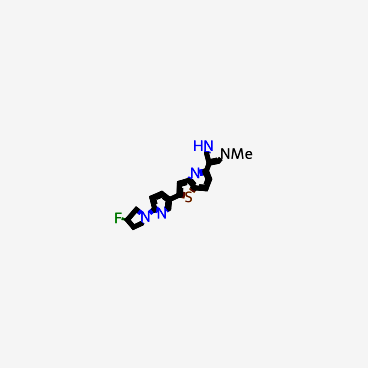 CN/C=C(\C=N)c1ccc2sc(-c3ccc(N4CC[C@@H](F)C4)nc3)cc2n1